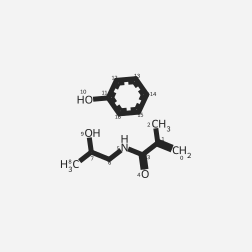 C=C(C)C(=O)NCC(C)O.Oc1ccccc1